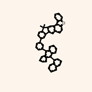 CC1(C)c2ccc(-c3cccc(-c4c5ccccc5c(-c5cccc6ccccc56)c5ccccc45)c3)cc2-c2cc3ccc4oc5ccccc5c4c3cc21